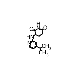 CC(C)c1ccnc(NC2CCC(=O)NC2=O)c1